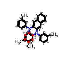 Cc1cccc(N(c2cccc(C)c2)c2[c]c3ccccc3cc2N(c2cccc(C)c2)c2cccc(C)c2)c1